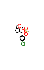 CC(OS(C)(=O)=O)C12OCC1CCC2Cc1ccc(Cl)cc1